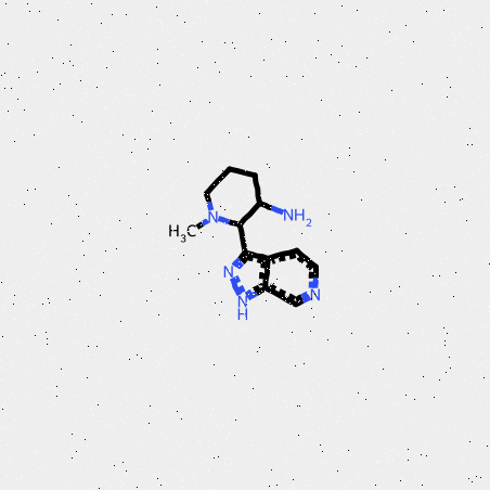 CN1CCCC(N)C1c1n[nH]c2cnccc12